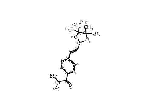 CCN(CC)C(=O)c1ccc(C=CB2OC(C)(C)C(C)(C)O2)cc1